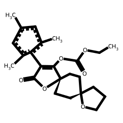 CCOC(=O)OC1=C(c2c(C)cc(C)cc2C)C(=O)O[C@]12CC[C@]1(CCCO1)CC2